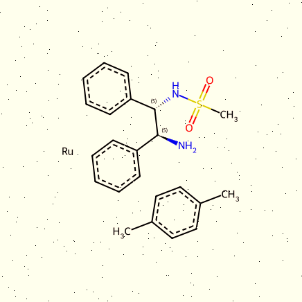 CS(=O)(=O)N[C@@H](c1ccccc1)[C@@H](N)c1ccccc1.Cc1ccc(C)cc1.[Ru]